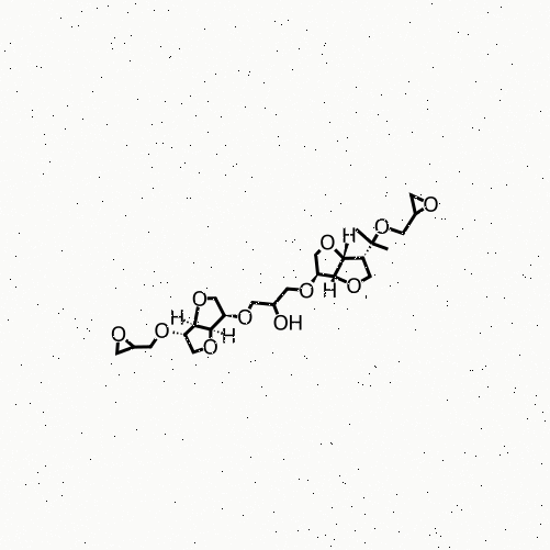 CC(C)(OCC1CO1)[C@@H]1CO[C@H]2[C@@H]1OC[C@@H]2OCC(O)CO[C@@H]1CO[C@H]2[C@@H]1OC[C@@H]2OCC1CO1